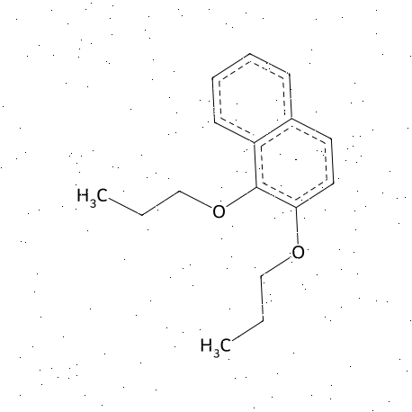 CCCOc1ccc2ccccc2c1OCCC